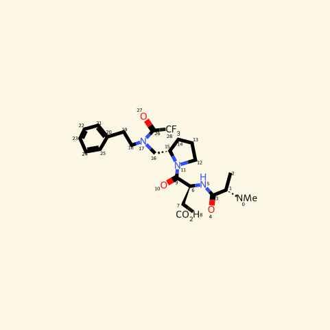 CN[C@@H](C)C(=O)N[C@@H](CC(=O)O)C(=O)N1CCC[C@H]1CN(CCc1ccccc1)C(=O)C(F)(F)F